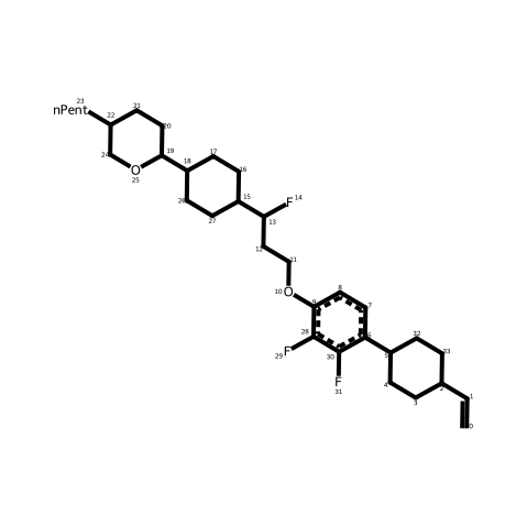 C=CC1CCC(c2ccc(OCCC(F)C3CCC(C4CCC(CCCCC)CO4)CC3)c(F)c2F)CC1